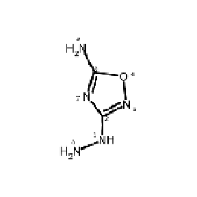 NNc1noc(N)n1